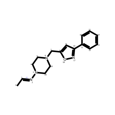 C/C=N/N1CCN(Cc2cc(-c3ccccc3)no2)CC1